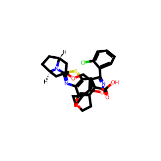 O=C(O)c1cc2sc(N3[C@@H]4CC[C@H]3CC(OCc3c(-c5ccccc5Cl)noc3C3CC3)C4)nc2c2c1CCO2